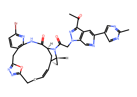 CC(=O)c1nn(CC(=O)N2[C@H]3C[C@@]4(C=CCCc5nnc(o5)Cc5ccc(Br)nc5NC3=O)C[C@@H]24)c2cnc(-c3cnc(C)nc3)cc12